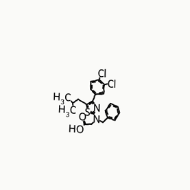 CC(C)Cc1sc(N(CC(=O)O)Cc2ccccc2)nc1-c1ccc(Cl)c(Cl)c1